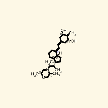 C=C1[C@H](O)CC(=C/C=C2\CCC[C@]3(C)[C@@H](C(C)CN4C[C@@H](C)OC[C@@H]4C)CC[C@@H]23)C[C@H]1O